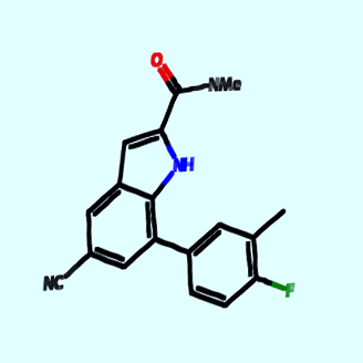 CNC(=O)c1cc2cc(C#N)cc(-c3ccc(F)c(C)c3)c2[nH]1